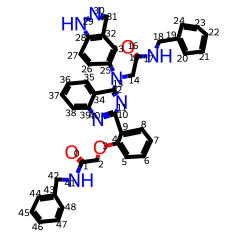 O=C(COc1ccccc1-c1nc(N(CC(=O)NCc2ccccc2)c2ccc3[nH]ncc3c2)c2ccccc2n1)NCc1ccccc1